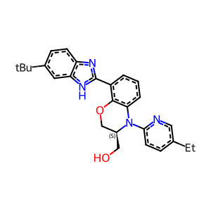 CCc1ccc(N2c3cccc(-c4nc5ccc(C(C)(C)C)cc5[nH]4)c3OC[C@@H]2CO)nc1